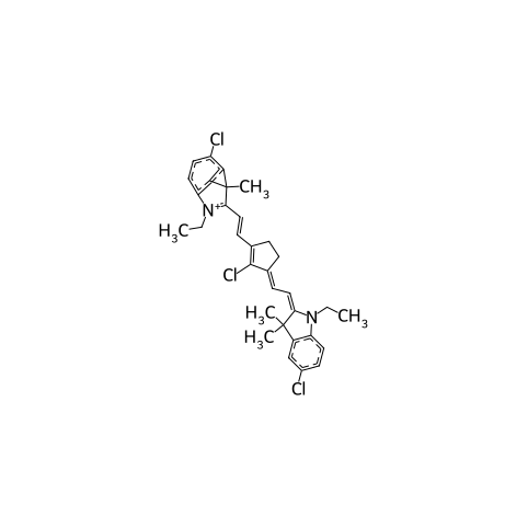 CCN1/C(=C/C=C2\CCC(/C=C/C3=[N+](CC)c4ccc(Cl)c5c4C35C)=C2Cl)C(C)(C)c2cc(Cl)ccc21